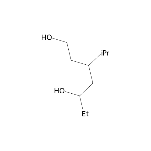 CCC(O)CC(CCO)C(C)C